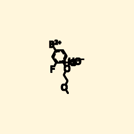 [B+2]c1ccc(OCCOC)c(F)c1.[OH-].[OH-]